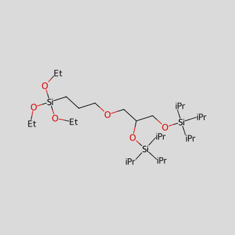 CCO[Si](CCCOCC(CO[Si](C(C)C)(C(C)C)C(C)C)O[Si](C(C)C)(C(C)C)C(C)C)(OCC)OCC